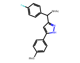 CSc1ccc(-c2cc(C(NC(C)=O)c3ccc(F)cc3)n[nH]2)cc1